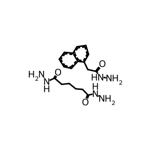 NNC(=O)CCCCC(=O)NN.NNC(=O)Cc1cccc2ccccc12